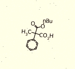 CCCCOC(=O)C(C)(C(=O)O)c1ccccc1